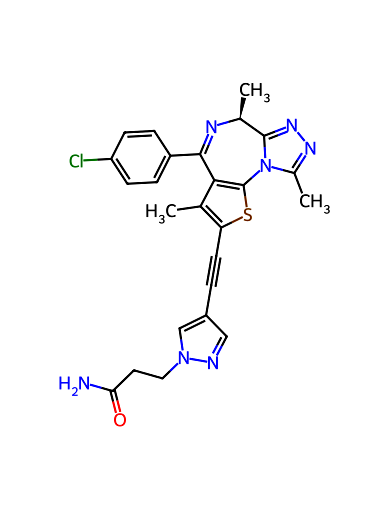 Cc1c(C#Cc2cnn(CCC(N)=O)c2)sc2c1C(c1ccc(Cl)cc1)=N[C@@H](C)c1nnc(C)n1-2